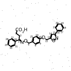 O=C(O)CC/C(=N\OCc1ccc(OCc2cc(-c3ccccc3)no2)cc1)c1ccccc1